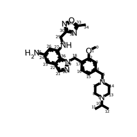 COc1cc(CN2CCN(C(C)C)CC2)ccc1Cn1ncc2cc(N)cc(NCc3noc(C)n3)c21